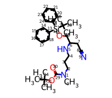 CN(CCCNC(CC#N)CO[Si](c1ccccc1)(c1ccccc1)C(C)(C)C)C(=O)OC(C)(C)C